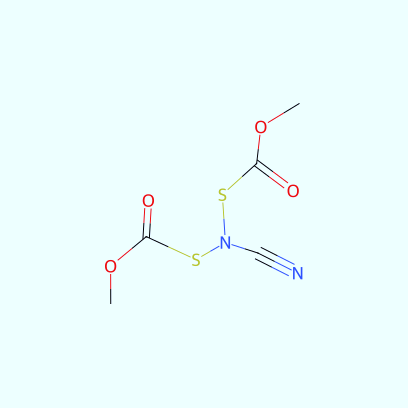 COC(=O)SN(C#N)SC(=O)OC